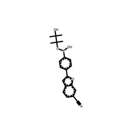 CC(C)(O)C(C)(C)OB(O)c1ccc(-c2cc3ccc(C#N)cc3o2)cc1